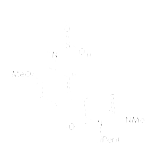 CCCC(C)N(C(=O)Cc1ccc(OC)c(N=S(=O)=O)c1)C(=S)NC